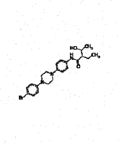 CCC(C(=O)Nc1ccc(N2CCN(c3ccc(Br)cc3)CC2)cc1)C(C)O